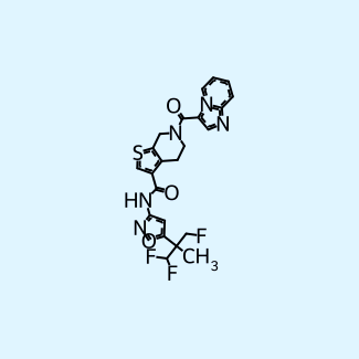 CC(CF)(c1cc(NC(=O)c2csc3c2CCN(C(=O)c2cnc4ccccn24)C3)no1)C(F)F